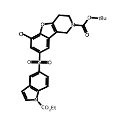 CCOC(=O)n1ccc2cc(S(=O)(=O)c3cc(Cl)c4oc5c(c4c3)CN(C(=O)OC(C)(C)C)CC5)ccc21